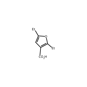 CCc1cc(C(=O)O)c(CC)o1